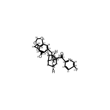 O=C(O[C@@H]1C2C[C@H]3C[C@@H]([C@@H]1N(C(=O)c1ccc(F)cn1)C3)N2Cc1ccc2c(c1)OCO2)C1CC1